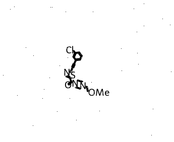 COCCN1CCN(C(=O)c2cnc(C#Cc3cccc(Cl)c3)s2)CC1